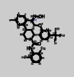 Cc1ncc(/C(COc2cccc(C(F)(F)F)n2)=N/O)c(C2CCN(C(=O)Nc3c(F)cccc3F)CC2)n1